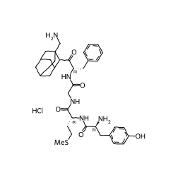 CSCC[C@@H](NC(=O)[C@@H](N)Cc1ccc(O)cc1)C(=O)NCC(=O)N[C@@H](Cc1ccccc1)C(=O)C1C2CC3CC(C2)CC1(CN)C3.Cl